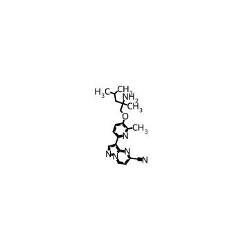 Cc1nc(-c2cnn3ccc(C#N)nc23)ccc1OCC(C)(N)CC(C)C